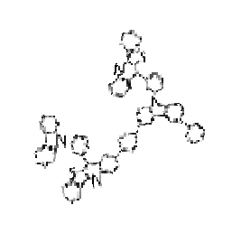 c1ccc(-c2ccc3c(c2)c2cc(-c4ccc(-c5ccc6nc7c(sc8ccccc87)c(-c7cccc(-n8c9ccccc9c9ccccc98)c7)c6c5)cc4)ccc2n3-c2cccc(-c3c4ccccc4nc4c3sc3ccccc34)c2)cc1